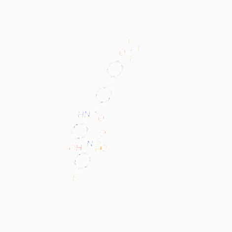 O=C(Nc1ccc(O)c(N(c2ccc(F)cc2)[SH](=O)=O)c1)c1ccc(-c2ccc(OC(F)(F)F)cc2)cc1